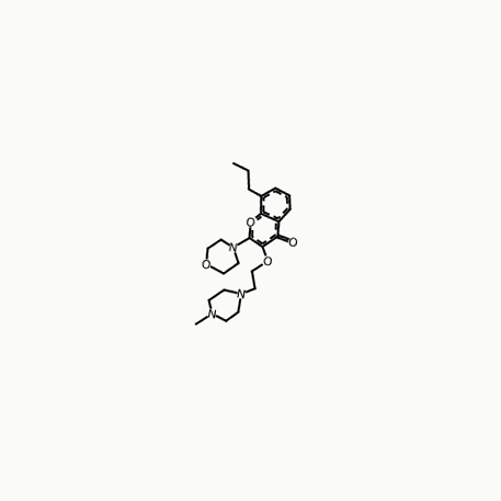 CCCc1cccc2c(=O)c(OCCN3CCN(C)CC3)c(N3CCOCC3)oc12